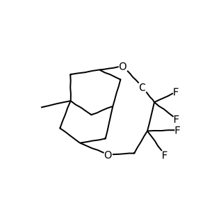 CC12CC3CC(C1)OCC(F)(F)C(F)(F)COC(C3)C2